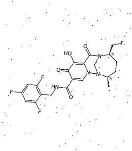 C[C@@H]1CC[C@H](CF)N2CN1n1cc(C(=O)NCc3c(F)cc(F)cc3F)c(=O)c(O)c1C2=O